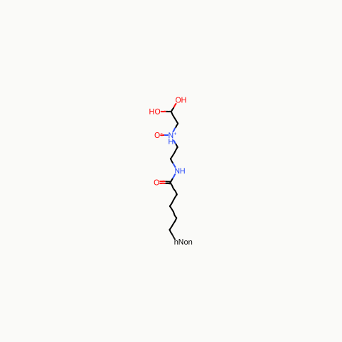 CCCCCCCCCCCCCC(=O)NCC[NH+]([O-])CC(O)O